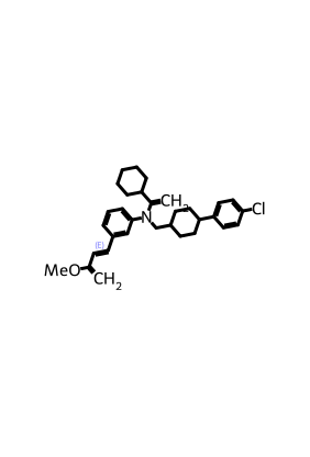 C=C(/C=C/c1cccc(N(CC2CCC(c3ccc(Cl)cc3)CC2)C(=C)C2CCCCC2)c1)OC